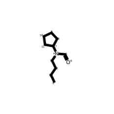 CCCCN([C]=O)C1CCCC1